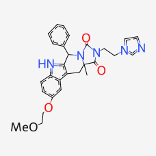 COCCOc1ccc2[nH]c3c(c2c1)CC1(C)C(=O)N(CCn2ccnc2)C(=O)N1C3c1ccccc1